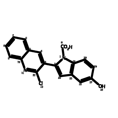 O=C(O)n1c(-c2cc3ccccc3nc2Cl)cc2cc(O)ccc21